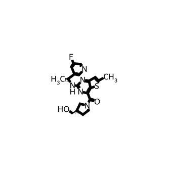 Cc1cc2nc(N[C@@H](C)c3cncc(F)c3)nc(C(=O)N3CC[C@@H](CO)C3)c2s1